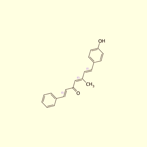 CC(/C=C/c1ccc(O)cc1)=C\C(=O)/C=C/c1ccccc1